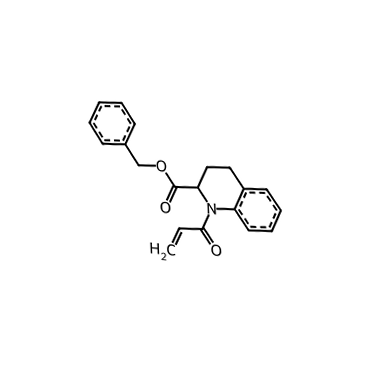 C=CC(=O)N1c2ccccc2CCC1C(=O)OCc1ccccc1